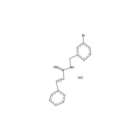 Cl.N=C(/C=C/c1ccccc1)NCc1cccc(Br)c1